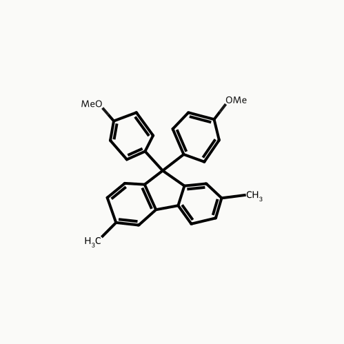 COc1ccc(C2(c3ccc(OC)cc3)c3ccc(C)cc3-c3ccc(C)cc32)cc1